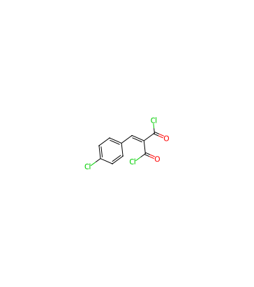 O=C(Cl)C(=Cc1ccc(Cl)cc1)C(=O)Cl